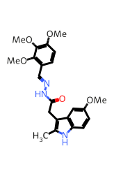 COc1ccc2[nH]c(C)c(CC(=O)NN=Cc3ccc(OC)c(OC)c3OC)c2c1